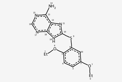 CCOc1ccc(OCC)c(Sc2nc3c(N)ncnc3[nH]2)c1